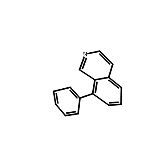 c1ccc(-c2cccc3ccncc23)cc1